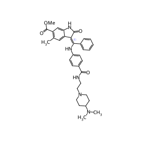 COC(=O)c1cc2c(cc1C)/C(=C(\Nc1ccc(C(=O)NCCN3CCC(N(C)C)CC3)cc1)c1ccccc1)C(=O)N2